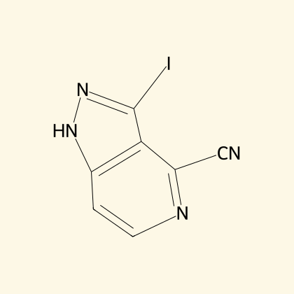 N#Cc1nccc2[nH]nc(I)c12